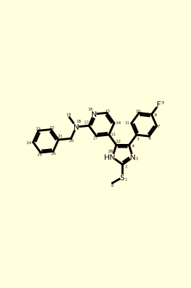 CSc1nc(-c2ccc(F)cc2)c(-c2ccnc(N(C)Cc3ccccc3)c2)[nH]1